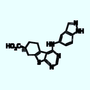 O=C(O)[C@H]1CCc2c(sc3ncnc(Nc4ccc5[nH]ncc5c4)c23)C1